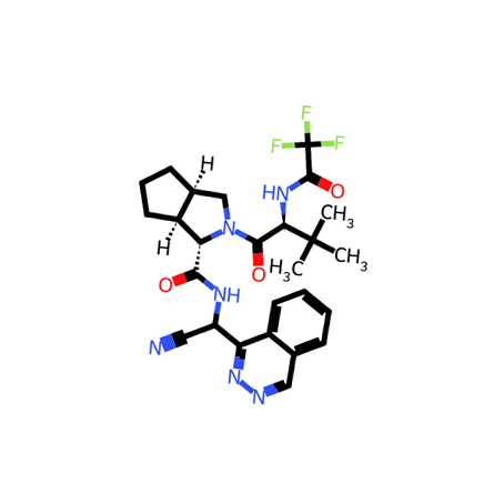 CC(C)(C)[C@H](NC(=O)C(F)(F)F)C(=O)N1C[C@@H]2CCC[C@@H]2[C@H]1C(=O)NC(C#N)c1nncc2ccccc12